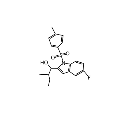 CCC(C)C(O)c1cc2cc(F)ccc2n1S(=O)(=O)c1ccc(C)cc1